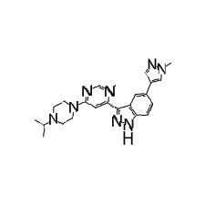 CC(C)N1CCN(c2cc(-c3n[nH]c4ccc(-c5cnn(C)c5)cc34)ncn2)CC1